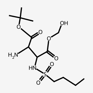 CCCCS(=O)(=O)NC(C(=O)OCO)C(N)C(=O)OC(C)(C)C